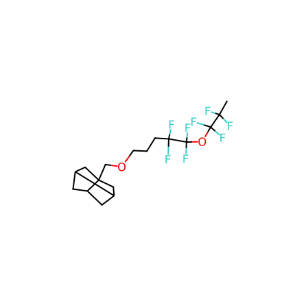 CC(F)(F)C(F)(F)OC(F)(F)C(F)(F)CCCOCC12CC3CC1CC3C2